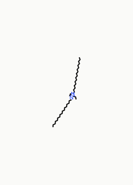 CCCCCCCCCCCCCCCCCCn1cc[n+](CCCCCCCCCCCCCCCCC)c1CC